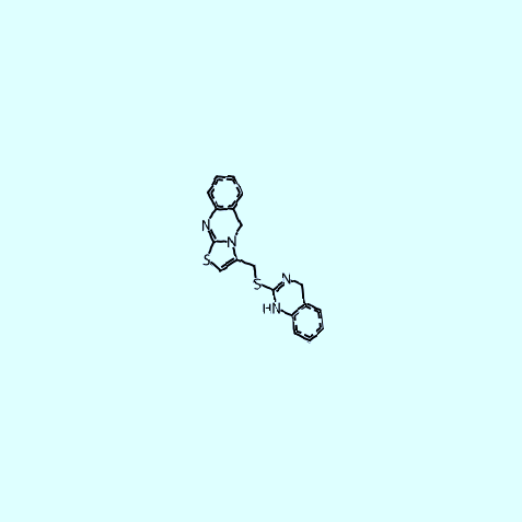 C1=C(CSC2=NCc3ccccc3N2)N2Cc3ccccc3N=C2S1